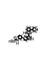 CCCCC(=O)Nc1c#ccc(-c2ccc3[nH]nc(-c4nc5c(-c6ccncc6)cccc5[nH]4)c3n2)c1